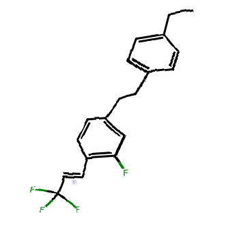 CCc1ccc(CCc2ccc(/C=C/C(F)(F)F)c(F)c2)cc1